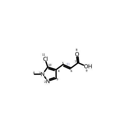 Cn1ncc(/C=C/C(=O)O)c1Cl